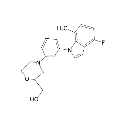 Cc1ccc(F)c2ccn(-c3cccc(N4CCOC(CO)C4)c3)c12